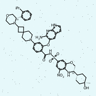 CC(C)c1ccccc1[C@H]1COCCN1C1CC2(CCN(c3ccc(C(=O)NS(=O)(=O)c4cc5c(c([N+](=O)[O-])c4)N[C@@H]([C@H]4CC[C@](C)(O)CC4)CO5)c(Oc4cc5cc[nH]c5nc4N)c3)CC2)C1